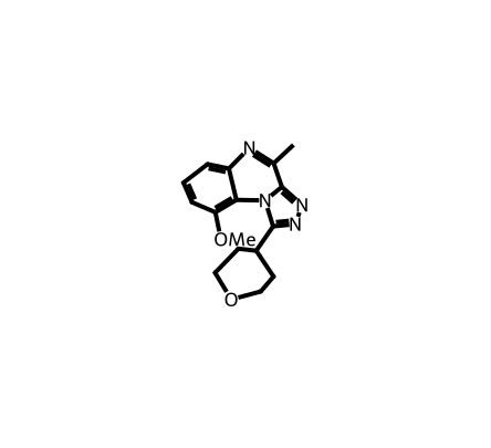 COc1cccc2nc(C)c3nnc(C4CCOCC4)n3c12